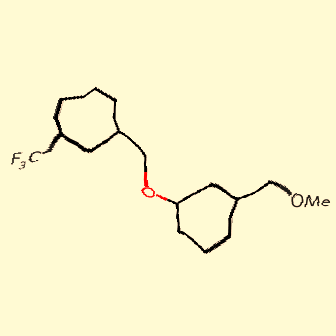 COCC1CCCC(OCC2CCCC(C(F)(F)F)C2)C1